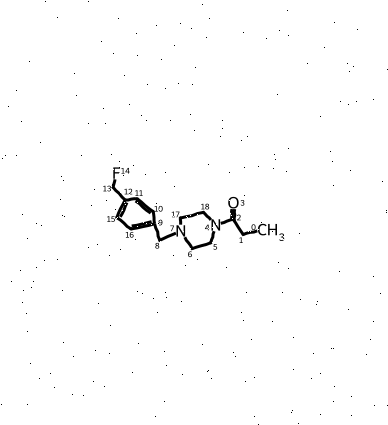 CCC(=O)N1CCN(Cc2ccc(CF)cc2)CC1